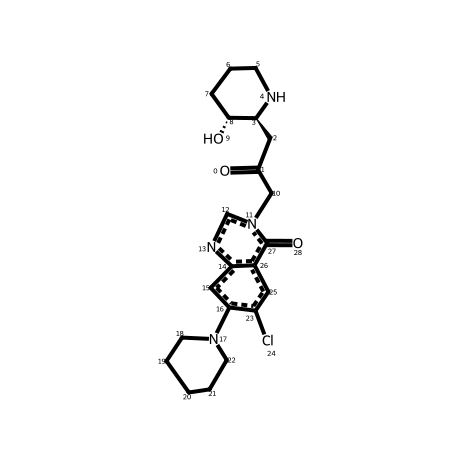 O=C(C[C@@H]1NCCC[C@H]1O)Cn1cnc2cc(N3CCCCC3)c(Cl)cc2c1=O